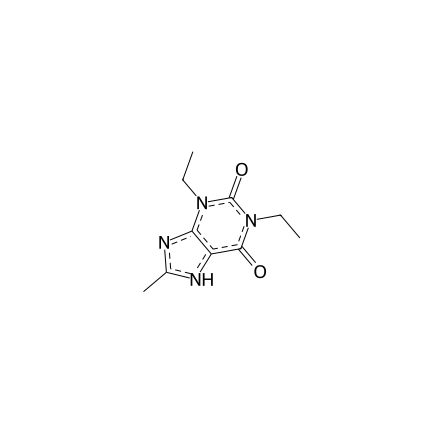 CCn1c(=O)c2[nH]c(C)nc2n(CC)c1=O